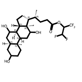 C[C@H](CCC(=O)OC(C(F)F)C(F)(F)F)[C@H]1CC[C@H]2[C@@H]3C(O)C[C@@H]4CC(O)CC[C@]4(C)[C@H]3CC(O)[C@]12C